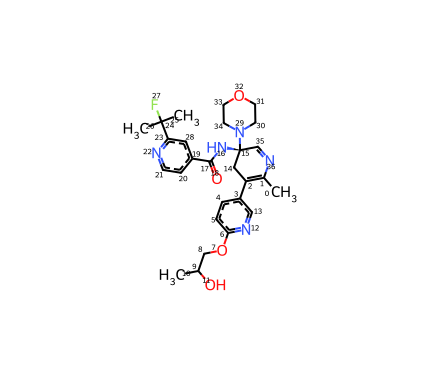 CC1=C(c2ccc(OCC(C)O)nc2)C[C@](NC(=O)c2ccnc(C(C)(C)F)c2)(N2CCOCC2)C=N1